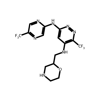 FC(F)(F)c1cnc(Nc2cc(NCC3CNCCO3)c(C(F)(F)F)nn2)cn1